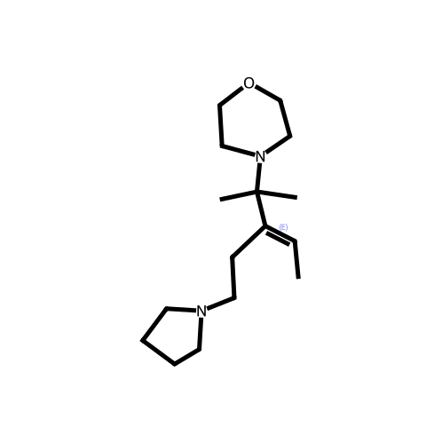 C/C=C(\CCN1CCCC1)C(C)(C)N1CCOCC1